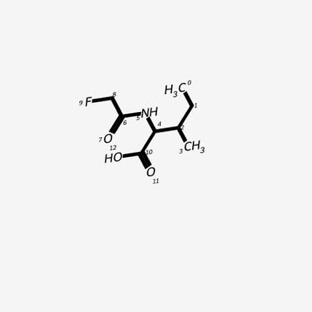 CCC(C)C(NC(=O)CF)C(=O)O